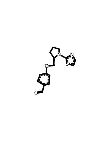 O=Cc1ccc(OCC2CCCN2c2nccs2)cc1